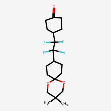 CC1(C)COC2(CCC(C(F)(F)C(F)(F)C3CCC(=O)CC3)CC2)OC1